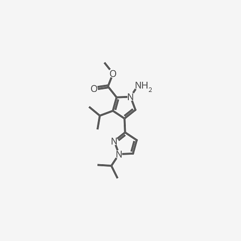 COC(=O)c1c(C(C)C)c(-c2ccn(C(C)C)n2)cn1N